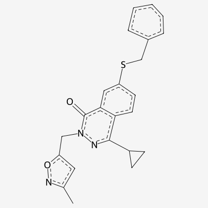 Cc1cc(Cn2nc(C3CC3)c3ccc(SCc4ccccc4)cc3c2=O)on1